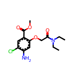 CCN(CC)C(=O)COc1cc(N)c(Cl)cc1C(=O)OC